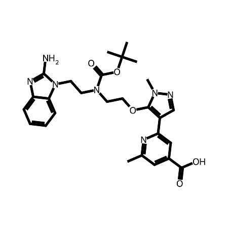 Cc1cc(C(=O)O)cc(-c2cnn(C)c2OCCN(CCn2c(N)nc3ccccc32)C(=O)OC(C)(C)C)n1